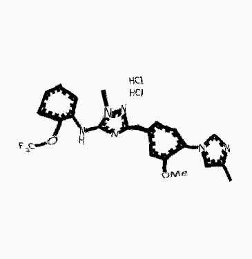 COc1cc(-c2nc(Nc3ccccc3OC(F)(F)F)n(C)n2)ccc1-n1cnc(C)c1.Cl.Cl